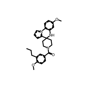 CCCc1cc(C(=O)N2CCC3(CC2)Nc2cc(OC)ccc2-n2cccc23)ccc1OC